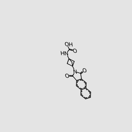 O=C(O)NC12CC(N3C(=O)c4cc5ccccc5cc4C3=O)(C1)C2